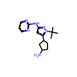 CC(C)(C)n1nc(Nc2ncccn2)cc1C1CCC(N)C1